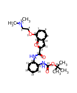 CN(C)CCOc1cccc2cc(C(=O)Nc3ccccc3NC(=O)OC(C)(C)C)oc12